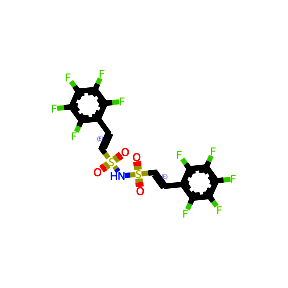 O=S(=O)(/C=C/c1c(F)c(F)c(F)c(F)c1F)NS(=O)(=O)/C=C/c1c(F)c(F)c(F)c(F)c1F